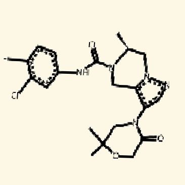 C[C@H]1Cn2ncc(N3CC(C)(C)OCC3=O)c2CN1C(=O)Nc1ccc(F)c(Cl)c1